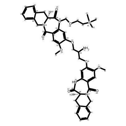 COc1cc2c(cc1OCC(N)COc1cc3c(cc1OC)C(=O)N1Cc4ccccc4C[C@H]1C(=O)N3COCC[Si](C)(C)C)NC(=O)[C@@H]1Cc3ccccc3CN1C2=O